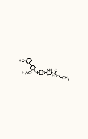 CCCNC(=O)c1ccc(N2CCN(Cc3ccc(-c4cccc(O)c4)cc3OC)CC2)nn1